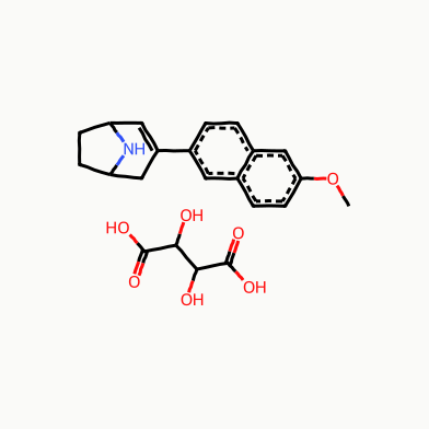 COc1ccc2cc(C3=CC4CCC(C3)N4)ccc2c1.O=C(O)C(O)C(O)C(=O)O